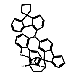 CCC1CCC2CC[C@H](C)C(C1)C21c2ccccc2-c2ccc(N(c3cccc4c3-c3ccccc3C43CCCC3)c3cccc4sc5ccccc5c34)cc21